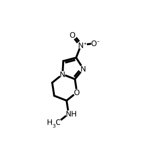 CNC1CCn2cc([N+](=O)[O-])nc2O1